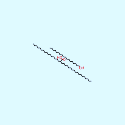 CCCCCCCCCCCCCCCCCCC(CCCCCCCCCCCCCCCC)C(=O)O.CCCCCCCCCCCCCCCCCCO